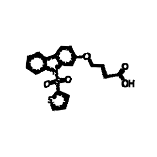 O=C(O)CCCOc1ccc2c3ccccc3n(S(=O)(=O)c3cccs3)c2c1